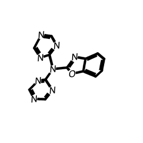 c1ccc2oc(N(c3ncncn3)c3ncncn3)nc2c1